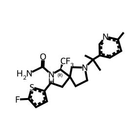 Cc1ccc(C(C)(C)N2CCC(CCc3ccc(F)s3)([C@@H](NC(N)=O)C(F)(F)F)C2)cn1